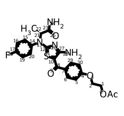 CC(=O)OCCOc1ccc(C(=O)c2sc(N(c3ccc(F)cc3)[C@H](C)C(N)=O)nc2N)cc1